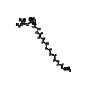 CCCCCCCCCCCCCCCCCCOC(C)CC(C)C